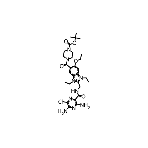 CCOc1cc2c(cc1C(=O)N1CCN(C(=O)OC(C)(C)C)CC1)[n+](CC)c(CNC(=O)c1nc(Cl)c(N)nc1N)n2CC